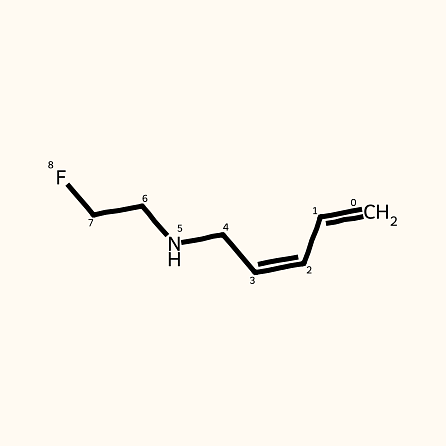 C=C/C=C\CNCCF